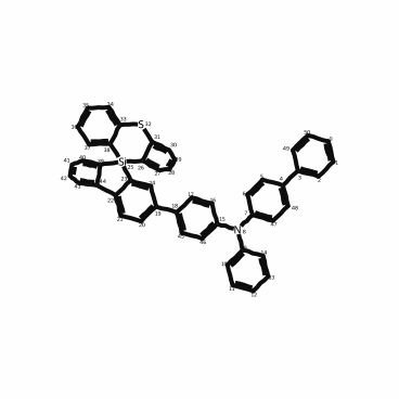 c1ccc(-c2ccc(N(c3ccccc3)c3ccc(-c4ccc5c(c4)[Si]4(c6ccccc6Sc6ccccc64)c4ccccc4-5)cc3)cc2)cc1